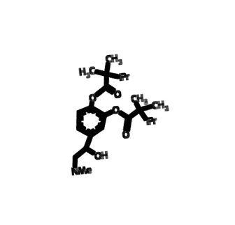 CNCC(O)c1ccc(OC(=O)C(C)(C)C(C)C)c(OC(=O)C(C)(C)C(C)C)c1